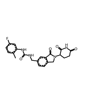 Cc1ccc(F)cc1NC(=O)NCc1ccc2c(c1)C(=O)N(C1CCC(=O)NC1=O)C2